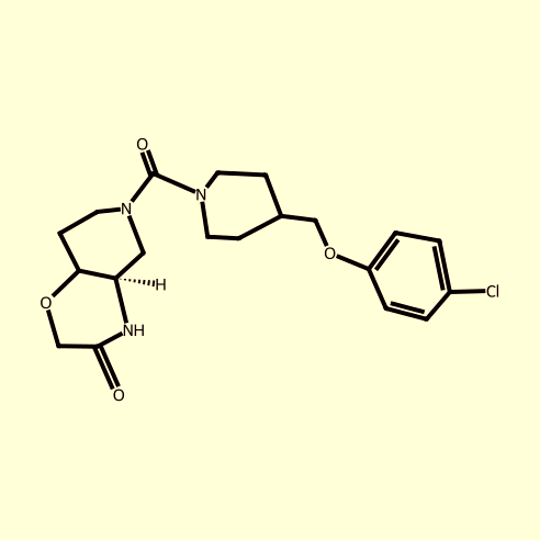 O=C1COC2CCN(C(=O)N3CCC(COc4ccc(Cl)cc4)CC3)C[C@H]2N1